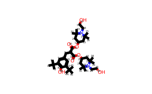 CC(C)(C)c1cc(CC(C(=O)OC2CC(C)(C)N(CCO)C(C)(C)C2)C(=O)OC2CC(C)(C)N(CCO)C(C)(C)C2)cc(C(C)(C)C)c1O